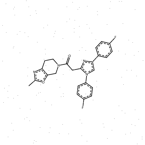 Cc1nc2c(o1)CN(C(=O)Cc1nc(-c3ccc(F)cc3)cn1-c1ccc(F)cc1)CC2